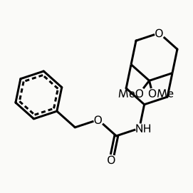 COC1(OC)C2COCC1CC(NC(=O)OCc1ccccc1)C2